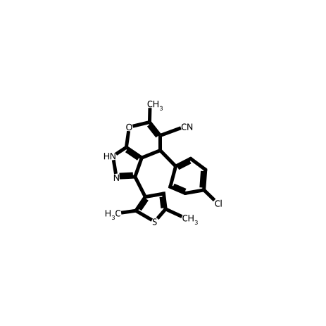 CC1=C(C#N)C(c2ccc(Cl)cc2)c2c(-c3cc(C)sc3C)n[nH]c2O1